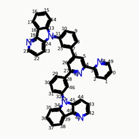 c1ccc(-c2cc(-c3cccc(-n4c5ccccc5c5ncccc54)c3)cc(-c3cccc(-n4c5ccccc5c5ncccc54)c3)n2)nc1